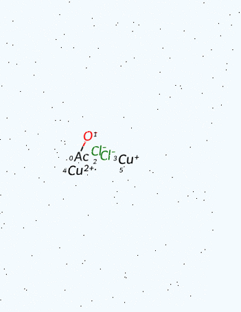 CC(=O)[O-].[Cl-].[Cl-].[Cu+2].[Cu+]